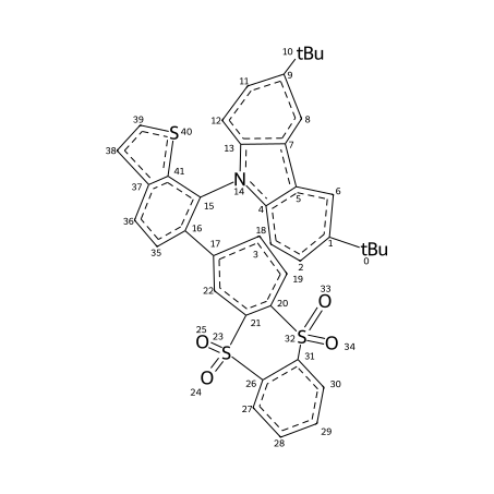 CC(C)(C)c1ccc2c(c1)c1cc(C(C)(C)C)ccc1n2-c1c(-c2ccc3c(c2)S(=O)(=O)c2ccccc2S3(=O)=O)ccc2ccsc12